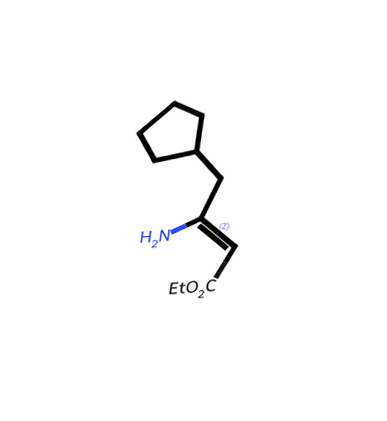 CCOC(=O)/C=C(\N)CC1CCCC1